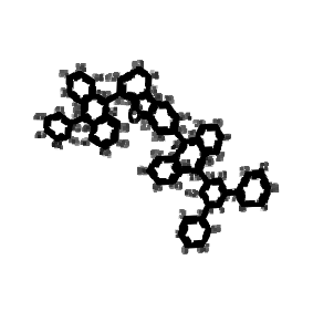 c1ccc(-c2cc(-c3ccccc3)cc(-c3c4ccccc4c(-c4ccc5c(c4)oc4c(-c6c7ccccc7c(-c7ccccc7)c7ccccc67)cccc45)c4ccccc34)c2)cc1